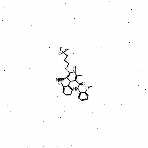 COc1ccccc1NC(=O)C1=C(C)NC(SCCCC(F)(F)F)=C(C#N)C1c1ccccc1Cl